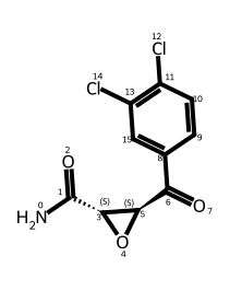 NC(=O)[C@H]1O[C@@H]1C(=O)c1ccc(Cl)c(Cl)c1